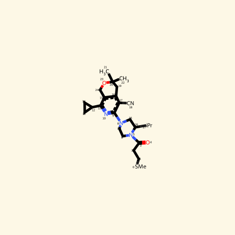 CSCCC(=O)N1CCN(c2nc(C3CC3)c3c(c2C#N)CC(C)(C)OC3)CC1C(C)C